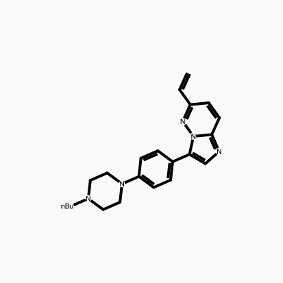 C=Cc1ccc2ncc(-c3ccc(N4CCN(CCCC)CC4)cc3)n2n1